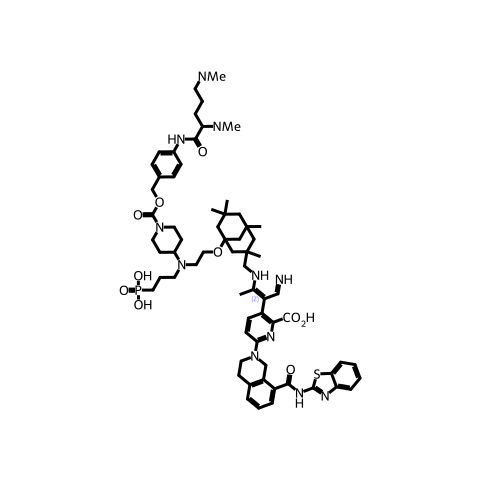 CNCCCC(NC)C(=O)Nc1ccc(COC(=O)N2CCC(N(CCCP(=O)(O)O)CCOC34CC(C)(C)CC(C)(CC(C)(CN/C(C)=C(\C=N)c5ccc(N6CCc7cccc(C(=O)Nc8nc9ccccc9s8)c7C6)nc5C(=O)O)C3)C4)CC2)cc1